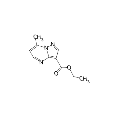 CCOC(=O)c1cnn2c(C)ccnc12